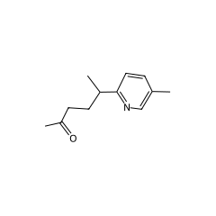 CC(=O)CCC(C)c1ccc(C)cn1